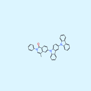 Cc1cn(-c2ccccc2)c(=O)c2ccc(-n3c4ccccc4c4cc(-n5c6ccccc6c6ccccc65)ccc43)cc12